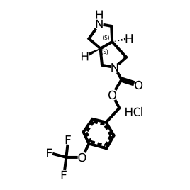 Cl.O=C(OCc1ccc(OC(F)(F)F)cc1)N1C[C@@H]2CNC[C@H]2C1